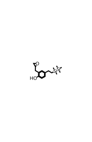 C[Si](C)(C)[Si](C)(C)CCc1ccc(O)c(CC2CO2)c1